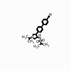 CC(C)N1CC(NS(=O)(=O)C(C)C)C(c2ccc(-c3ccc(C#N)cc3)cc2)C1